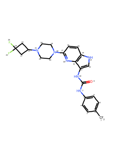 O=C(Nc1ccc(C(F)(F)F)cc1)Nc1c[nH]c2ccc(N3CCN(C4CC(F)(F)C4)CC3)nc12